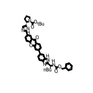 CCCC[C@H](NC(=O)OCc1ccccc1)c1nc2ccc(-c3ccc4c(=O)c5cc(-c6ncc([C@@H]7CCCN7C(=O)OC(C)(C)C)[nH]6)ccc5oc4c3)cc2[nH]1